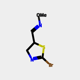 CON=CC1CN=C(Br)S1